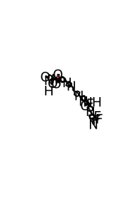 N#Cc1ccc(N2CCC(F)(C(=O)Nc3ccc(N4CCC(CCN5CCN(c6ccc7c(c6)C(=O)N(C6CCC(=O)NC6=O)C7=O)CC5)CC4)cn3)CC2)cc1C(F)(F)F